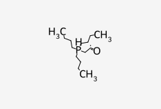 CCCC[PH](C[C]=O)(CCCC)CCCC